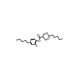 CCCCCc1ccc(OC(=O)C2COC(CCCCC)OC2)c(C)c1